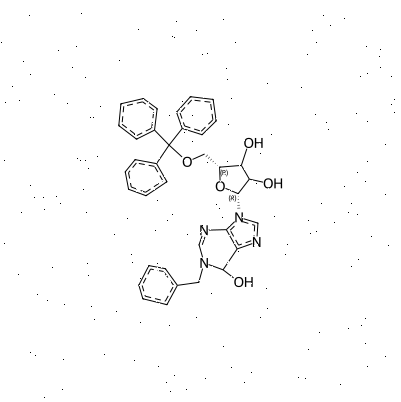 OC1C(O)[C@@H](COC(c2ccccc2)(c2ccccc2)c2ccccc2)O[C@H]1n1cnc2c1N=CN(Cc1ccccc1)C2O